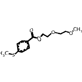 COCCOCCOC(=O)c1ccc(SC)cc1